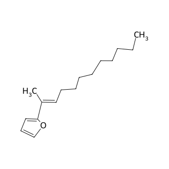 CCCCCCCCC/C=C(\C)c1ccco1